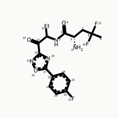 CCC(NC(=O)[C@@H](N)CC(C)(F)F)C(=O)c1noc(-c2ccc(F)cc2)n1